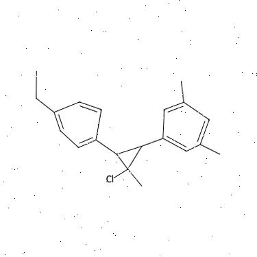 CCc1ccc(C2C(c3cc(C)cc(C)c3)C2(C)Cl)cc1